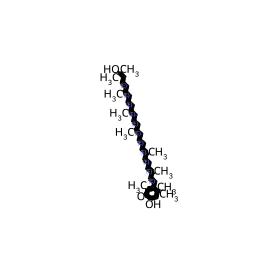 CC1=C(/C=C/C(C)=C/C=C/C(C)=C/C=C/C=C(C)/C=C/C=C(C)/C=C/C=C(C)/C=C/CC(C)(C)O)C(C)(C)CC(O)C1=O